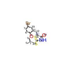 CC(C)=COc1ccc(Br)cc1/C=C1\SC(=S)NC1=O